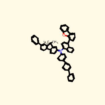 CC1(C)c2cc(-c3ccccc3)ccc2-c2ccc(N(c3ccc(-c4ccc(-c5ccccc5)cc4)cc3)c3ccc(-c4cccc5c4oc4ccccc45)c4ccccc34)cc21